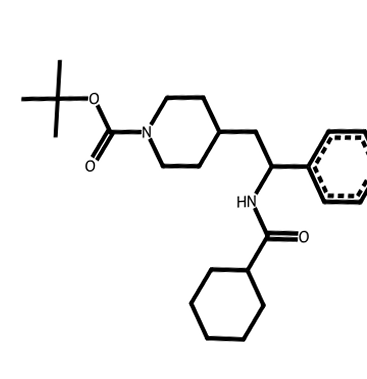 CC(C)(C)OC(=O)N1CCC(CC(NC(=O)C2CCCCC2)c2ccccc2)CC1